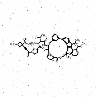 CCn1c(-c2cccnc2[C@H](C)OC)c2c3cc(ccc31)-c1cccc(c1)C[C@H](NC(=O)[C@H](C(C)C)N(C)C(=O)C1CCN(C(=O)C#CC3(N(C)C)CN(C)C3)C1)C(=O)N1CCC[C@H](N1)C(=O)OCC(C)(C)C2